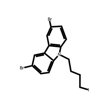 Brc1ccc2c(c1)c1cc(Br)ccc1n2CCCCI